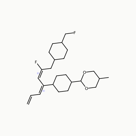 C=C/C=C(\C=C(\F)CC1CCC(CF)CC1)C1CCC(C2OCC(C)CO2)CC1